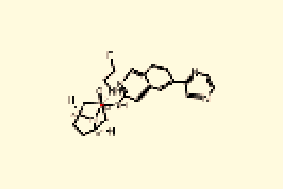 O=C(Nc1cc2cc(-c3cnccn3)ccc2cn1)N1[C@@H]2CC[C@H]1C[C@H](NCCF)C2